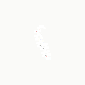 CCOC(=O)C1CCN(c2ccc3cc(-c4ccc(O)cc4)ccc3n2)CC1